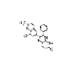 Cc1ccc2cc(-c3nc4ccc(=O)[nH]c4nc3-c3ccccc3)cc(Cl)c2n1